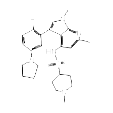 Cc1cc(NS(=O)(=O)C2CCN(C)CC2)c2c(-c3cc(N4CCCC4)ccc3F)cn(C)c2n1